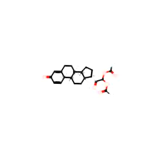 CCC(=O)OC(OC(=O)CC)C(=O)[C@H]1CC[C@H]2[C@@H]3CCC4=CC(=O)C=C[C@]4(C)[C@H]3CC[C@]12C